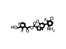 CC12CC[C@@H](C(=O)OCC(=O)c3ccnc(CO)c3F)N1C(=O)C=C(c1c(N)ccc(Cl)c1F)C2